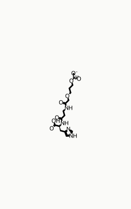 O=C(COCCCO[N+](=O)[O-])NCCC(=O)N[C@@H](Cc1c[nH]cn1)C(=O)O